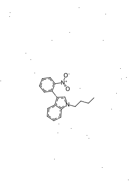 CCCCn1cc(-c2ccccc2[N+](=O)[O-])c2ccccc21